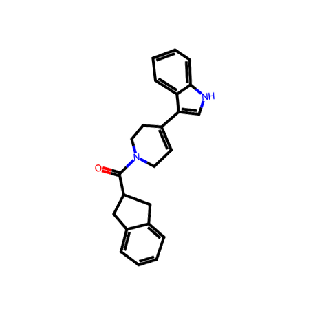 O=C(C1Cc2ccccc2C1)N1CC=C(c2c[nH]c3ccccc23)CC1